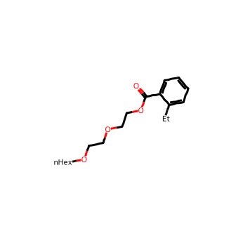 CCCCCCOCCOCCOC(=O)c1ccccc1CC